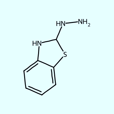 NNC1Nc2ccccc2S1